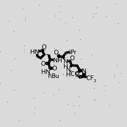 CCCCNC(=O)C(=O)C(C[C@@H]1CCNC1=O)NC(=O)C(CC(C)C)NC(=O)C(Cc1nc(C(F)(F)F)cs1)NC(=O)O